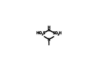 CN(C)C.O=S(=O)(O)NS(=O)(=O)O